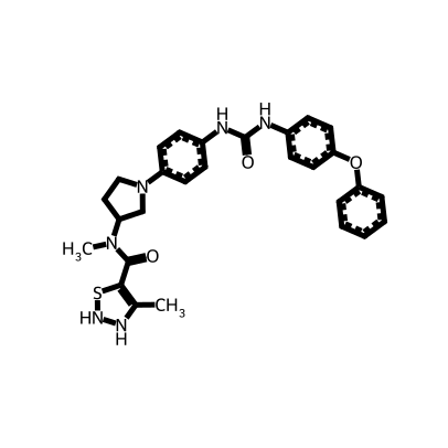 CC1=C(C(=O)N(C)C2CCN(c3ccc(NC(=O)Nc4ccc(Oc5ccccc5)cc4)cc3)C2)SNN1